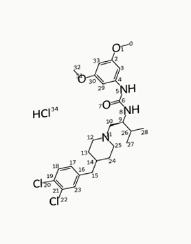 COc1cc(NC(=O)N[C@H](CN2CCC(Cc3ccc(Cl)c(Cl)c3)CC2)C(C)C)cc(OC)c1.Cl